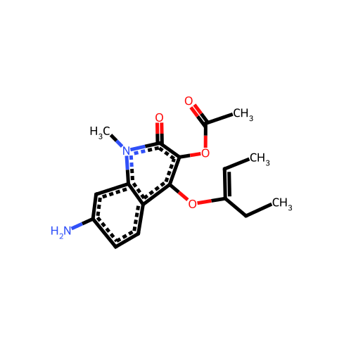 CC=C(CC)Oc1c(OC(C)=O)c(=O)n(C)c2cc(N)ccc12